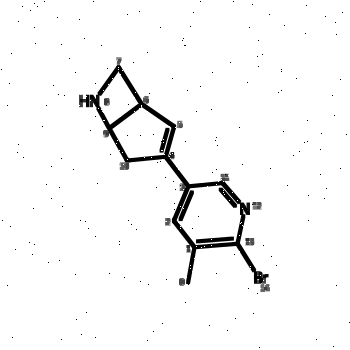 Cc1cc(C2=CC3CNC3C2)cnc1Br